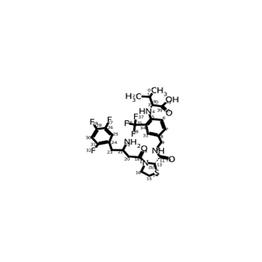 CC(C)[C@@H](Nc1ccc(CNC(=O)[C@@H]2SCCN2C(=O)CC(N)Cc2cc(F)c(F)cc2F)cc1C(F)(F)F)C(=O)O